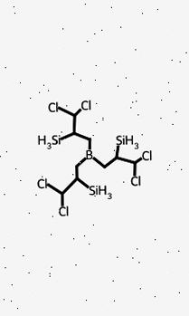 [SiH3]C(CB(CC([SiH3])C(Cl)Cl)CC([SiH3])C(Cl)Cl)C(Cl)Cl